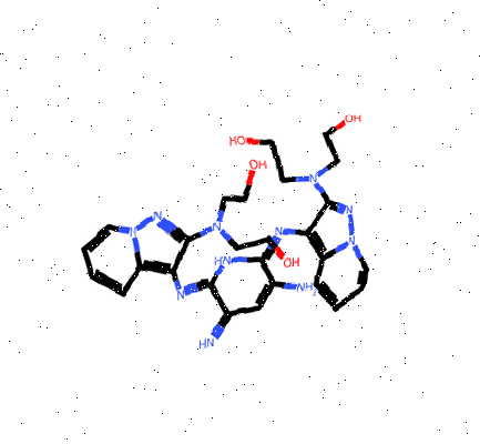 N=C1C=C(N)/C(=N\c2c(N(CCO)CCO)nn3ccccc23)N/C1=N\c1c(N(CCO)CCO)nn2ccccc12